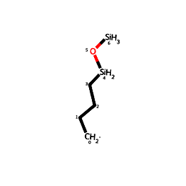 [CH2]CCC[SiH2]O[SiH3]